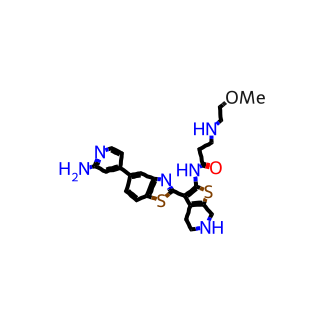 COCCNCCC(=O)Nc1sc2c(c1-c1nc3cc(-c4ccnc(N)c4)ccc3s1)CCNC2